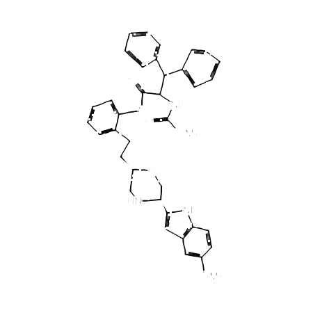 COC(=O)NC(C(=O)Nc1ccccc1CC[C@@H]1CN[C@H](c2cc3cc(OC)ccc3[nH]2)CO1)C(c1ccccc1)c1ccccc1